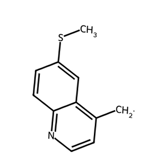 [CH2]c1ccnc2ccc(SC)cc12